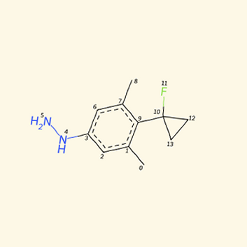 Cc1cc(NN)cc(C)c1C1(F)CC1